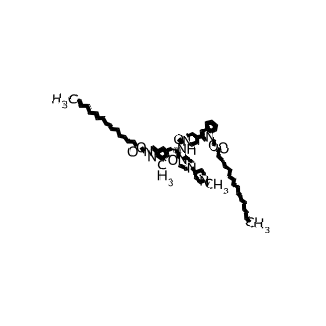 CCCCCCCCCCCCCCCCC(=O)OCN1CC(C2CCN(C(=O)N[C@H](Cc3cc(C)c4nn(COC(=O)CCCCCCCCCCCCCCCC)cc4c3)C(=O)N3CCN(C4CCN(C)CC4)CC3)CC2)=Cc2ccccc21